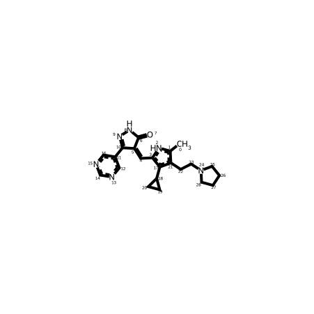 Cc1[nH]c(C=C2C(=O)NN=C2c2cncnc2)c(C2CC2)c1CCN1CCCC1